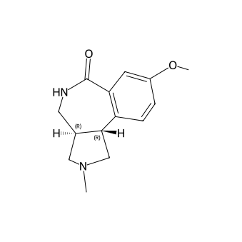 COc1ccc2c(c1)C(=O)NC[C@@H]1CN(C)C[C@@H]21